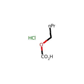 CCCCOC(=O)O.Cl